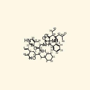 C=C[C@@H](C[C@H](O)[C@H](CC1CCCCC1)NC(=O)[C@H](Cc1c[nH]cn1)NC(=O)[C@@](N)(Cc1ccccc1)C(=O)[C@@H](CC)C(=O)CC(C)C)C(C)C